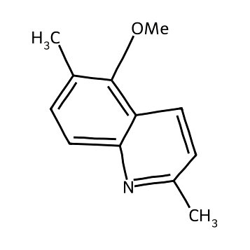 COc1c(C)ccc2nc(C)ccc12